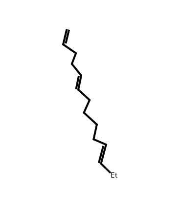 C=CCCC=CCCCCC=CCC